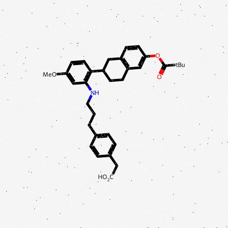 COc1ccc(C2CCc3cc(OC(=O)C(C)(C)C)ccc3C2)c(NCCCc2ccc(CC(=O)O)cc2)c1